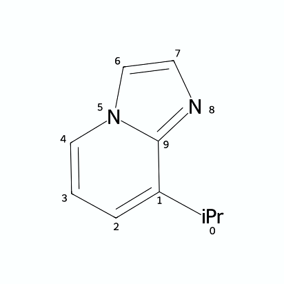 CC(C)c1cccn2ccnc12